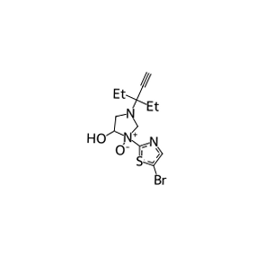 C#CC(CC)(CC)N1CC(O)[N+]([O-])(c2ncc(Br)s2)C1